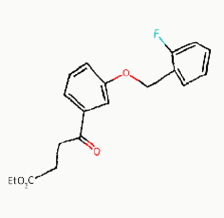 CCOC(=O)CCC(=O)c1cccc(OCc2ccccc2F)c1